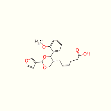 COc1ccccc1C1OC(c2ccoc2)OCC1C/C=C\CCC(=O)O